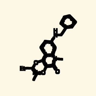 CC=C(CC)Oc1c(OC)c(=O)n(C)c2cc(NCc3ccccc3)ccc12